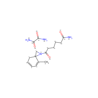 CC1=CC=CCC12CN2C(=O)CCCCC(N)=O.NC(=O)C(N)=O